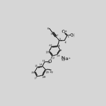 CC#CC(CC(=O)[O-])c1ccc(OCc2ccccc2C)cc1.[Na+]